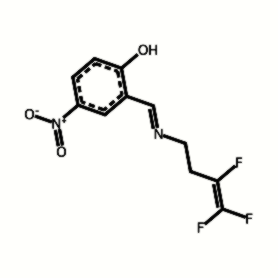 O=[N+]([O-])c1ccc(O)c(C=NCCC(F)=C(F)F)c1